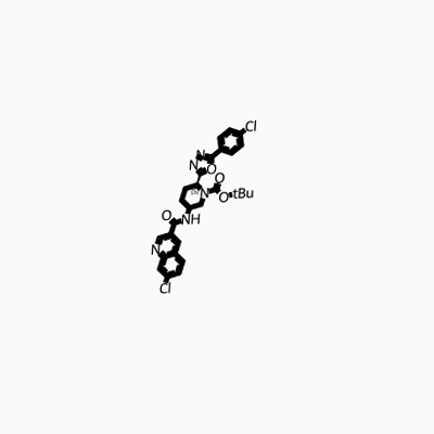 CC(C)(C)OC(=O)N1CC(NC(=O)c2cnc3cc(Cl)ccc3c2)CC[C@H]1c1nnc(-c2ccc(Cl)cc2)o1